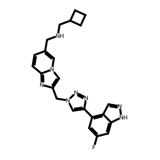 Fc1cc(-c2cn(Cc3cn4cc(CNCC5CCC5)ccc4n3)nn2)c2cn[nH]c2c1